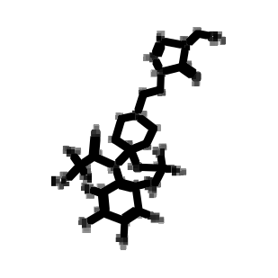 [2H]c1c([2H])c([2H])c(N(C(=O)C([2H])([2H])C)C2(OC([2H])([2H])[2H])CCN(CCn3nnn(CC)c3=O)CC2)c([2H])c1[2H]